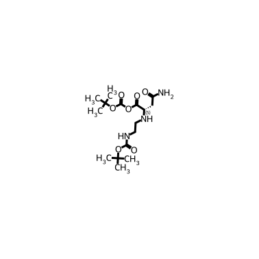 CC(C)(C)OC(=O)NCCN[C@@H](CC(N)=O)C(=O)OC(=O)OC(C)(C)C